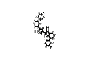 CN1CCN(c2cncc(-c3cc(-c4nc5c(-c6cccc(F)c6)cncc5[nH]4)n[nH]3)c2)CC1